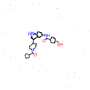 O=C(Nc1ccc2[nH]cc(C3CCN(C(=O)C4CCCC4)CC3)c2c1)c1ccc(CO)cc1